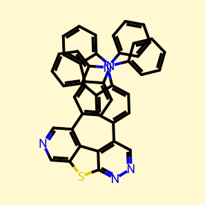 c1ccc(-n2c3ccccc3c3cc(-c4cncc5sc6nncc(-c7ccc8c(c7)c7ccccc7n8-c7ccccc7)c6c45)ccc32)cc1